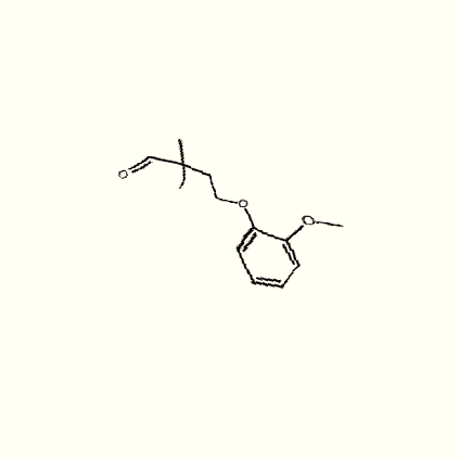 COc1ccccc1OCCC(C)(C)C=O